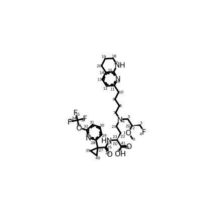 CO[C@H](CF)CN(CCCCc1ccc2c(n1)NCCC2)CC[C@H](NC(=O)C1(c2cccc(OC(F)(F)F)n2)CC1)C(=O)O